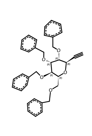 C#C[C@H]1O[C@H](COCc2ccccc2)[C@@H](OCc2ccccc2)[C@H](OCc2ccccc2)[C@@H]1OCc1ccccc1